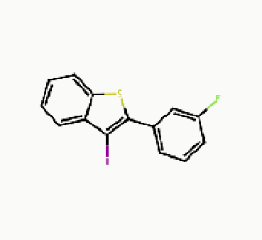 Fc1cccc(-c2sc3ccccc3c2I)c1